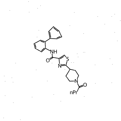 CCCC(=O)N1CCC(c2nc(C(=O)Nc3ccccc3-c3ccccc3)cs2)CC1